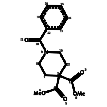 COC(=O)C1(C(=O)OC)CCN(C(=O)c2ccccc2)CC1